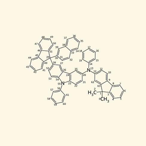 CC1(C)c2ccccc2-c2ccc(N(c3ccccc3)c3ccc4c(c3)c3cc(C5(c6ccc7ccccc7c6)c6ccccc6-c6ccccc65)ccc3n4-c3ccccc3)cc21